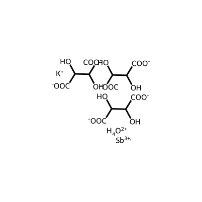 O=C([O-])C(O)C(O)C(=O)[O-].O=C([O-])C(O)C(O)C(=O)[O-].O=C([O-])C(O)C(O)C(=O)[O-].[K+].[OH4+2].[Sb+3]